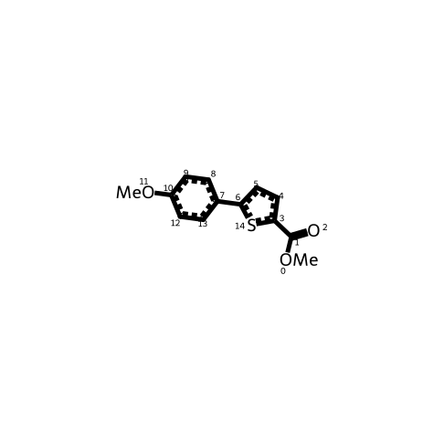 COC(=O)c1ccc(-c2ccc(OC)cc2)s1